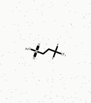 CC(=O)OS(=O)(=O)CCC(F)(F)C(F)(F)F